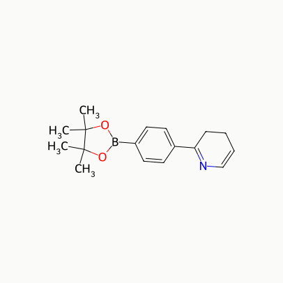 CC1(C)OB(c2ccc(C3=NC=CCC3)cc2)OC1(C)C